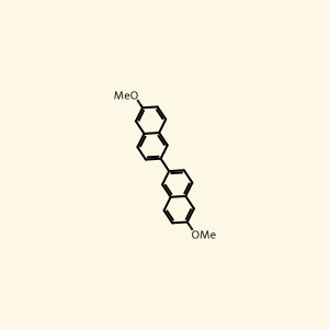 COc1ccc2cc(-c3ccc4cc(OC)ccc4c3)ccc2c1